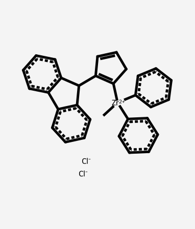 [CH3][Zr+2]([C]1=C(C2c3ccccc3-c3ccccc32)C=CC1)([c]1ccccc1)[c]1ccccc1.[Cl-].[Cl-]